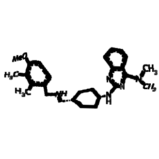 COc1ccc(CNC[C@H]2CC[C@@H](Nc3nc(N(C)C)c4ccccc4n3)CC2)c(C)c1C